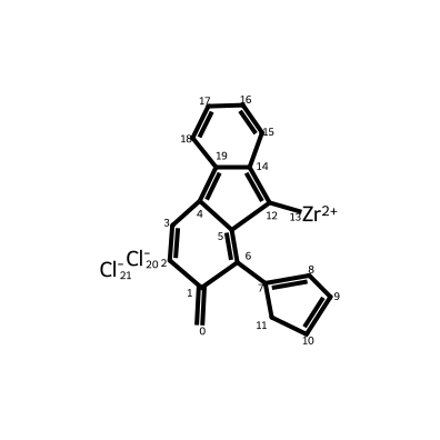 C=c1ccc2c(c1C1=CC=CC1)[C]([Zr+2])=c1ccccc1=2.[Cl-].[Cl-]